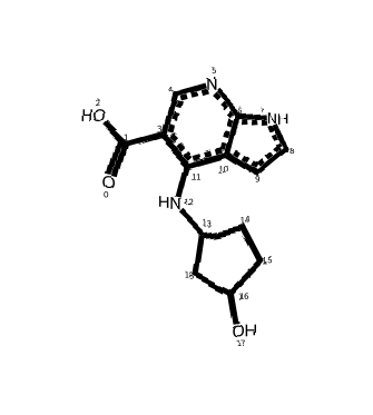 O=C(O)c1cnc2[nH]ccc2c1NC1CCC(O)C1